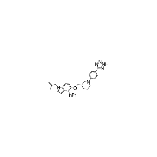 C=C(C)Cn1ccc2c(CCC)c(OCC3CCCN(c4ccc(-c5nn[nH]n5)cc4)C3)ccc21